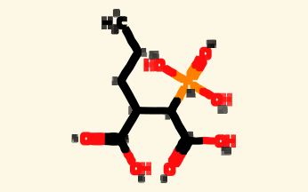 CCCC(C(=O)O)C(C(=O)O)P(=O)(O)O